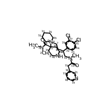 CN(C)C(=O)C1([N+]2(CCC(CN(C)C(=O)Cc3cccnc3)c3ccc(Cl)c(Cl)c3)CCCCC2)CCNCC1